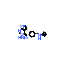 C1=Nc2[nH]ccc2C2=C([C@H]3CC[C@H](CNC45CC(C4)C5)CC3)NNN12